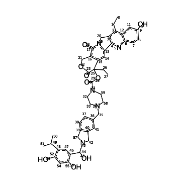 CCc1c2c(nc3ccc(O)cc13)-c1cc3c(c(=O)n1C2)COC(=O)C3(CC)OC(=O)N1CCN(Cc2ccc3c(c2)CN(C(O)c2cc(C(C)C)c(O)cc2O)C3)CC1